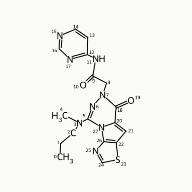 CCCN(C)c1nn(CC(=O)Nc2ccncn2)c(=O)c2cc3scnc3n12